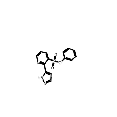 O=S(=O)(Oc1ccccc1)c1cccnc1-c1ccn[nH]1